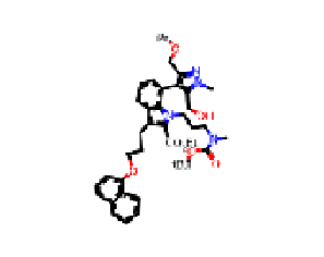 CCOC(=O)c1c(CCCOc2cccc3ccccc23)c2cccc(-c3c(COC(C)C)nn(C)c3CO)c2n1CCCN(C)C(=O)OC(C)(C)C